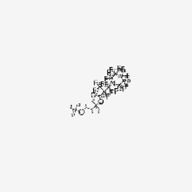 CC(C)(C)OCCC(C)(C)OC(=O)C(F)(C(F)(F)F)C(F)(F)N1C(F)(F)C(F)(F)C(F)(F)C(F)(F)C1(F)F